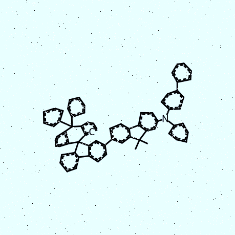 CC1(C)c2cc(-c3ccc4c(c3)C3(c5ccccc5-4)c4ccccc4C(c4ccccc4)(c4ccccc4)c4ccccc43)ccc2-c2ccc(N(c3ccccc3)c3ccc(-c4ccccc4)cc3)cc21